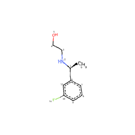 C[C@H](NCCO)c1cccc(F)c1